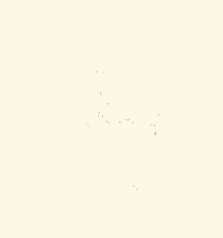 CC(C)(C)OC(=O)N1C[C@H](N2C[C@@H]3C[C@H]3c3cc(C#N)cc(-c4ccnc5cc(CO)sc45)c32)C[C@@H]1CO[C@@H]1CCCCO1